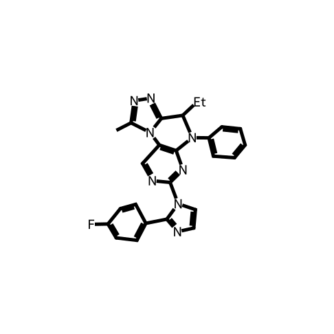 CCC1c2nnc(C)n2-c2cnc(-n3ccnc3-c3ccc(F)cc3)nc2N1c1ccccc1